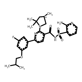 CC(C)COc1cc(F)cc(-c2ccc(C(=O)NS(=O)(=O)c3cccnc3N)c(N3C[C@H](C)CC3(C)C)n2)c1